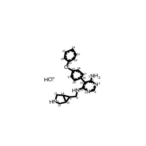 Cl.Nc1ncnc(NCC2C3CNCC32)c1-c1ccc(Oc2ccccc2)cc1